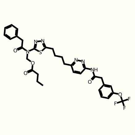 CCCC(=O)OCN(C(=O)Cc1ccccc1)c1nnc(CCCCc2ccc(NC(=O)Cc3cccc(OC(F)(F)F)c3)nn2)s1